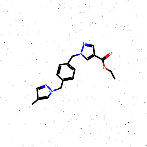 CCOC(=O)c1cnn(Cc2ccc(Cn3cc(C)cn3)cc2)c1